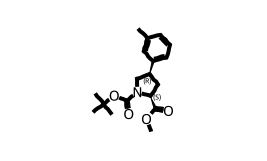 COC(=O)[C@@H]1C[C@H](c2cccc(C)c2)CN1C(=O)OC(C)(C)C